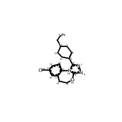 CC(C)CC1CCC(c2nnc3n2-c2ccc(Cl)cc2CCO3)CC1